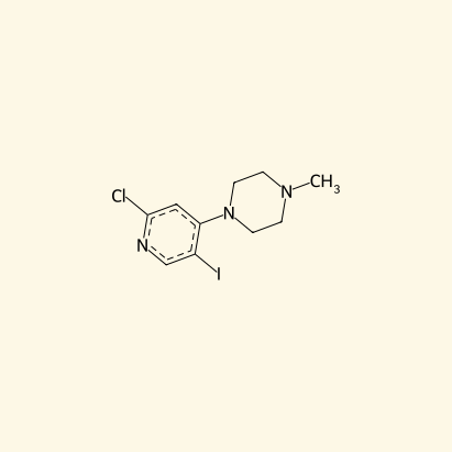 CN1CCN(c2cc(Cl)ncc2I)CC1